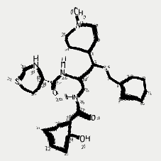 CN1CCC(C(SCC2CCCCC2)C(CNC(=O)c2ccccc2O)NC(=O)[C@@H]2CSCN2)CC1